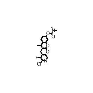 Cc1c(Cc2ccnc(Cl)c2F)c(=O)oc2cc(OC(=O)N(C)C)ccc12